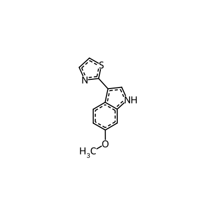 COc1ccc2c(-c3nccs3)c[nH]c2c1